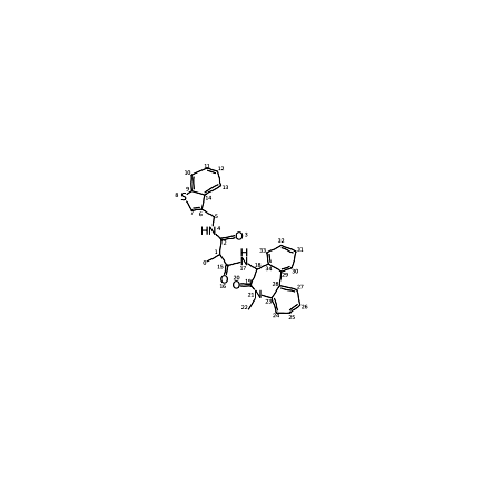 CC(C(=O)NCc1csc2ccccc12)C(=O)NC1C(=O)N(C)c2ccccc2-c2ccccc21